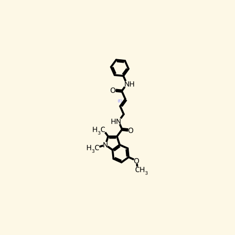 COc1ccc2c(c1)c(C(=O)NC/C=C/C(=O)Nc1ccccc1)c(C)n2C